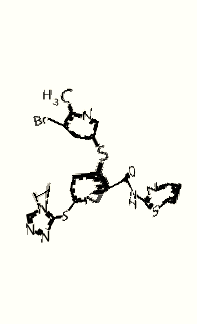 Cc1ncc(Sc2ccc(Sc3nnc[nH]3)nc2C(=O)Nc2nccs2)cc1Br